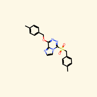 Cc1ccc(COc2nnc(S(=O)(=O)Cc3ccc(C)cc3)n3ccnc23)cc1